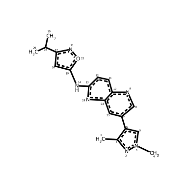 Cc1nn(C)cc1-c1cnc2ccc(Nc3cc(C(C)C)no3)nc2c1